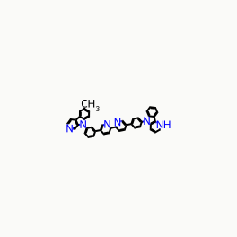 Cc1ccc2c(c1)c1ccncc1n2-c1cccc(-c2ccc(-c3ccc(-c4ccc(-n5c6c(c7ccccc75)NCC=C6)cc4)cn3)nc2)c1